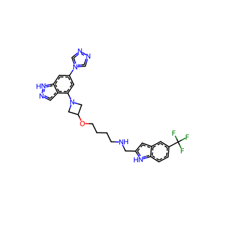 FC(F)(F)c1ccc2[nH]c(CNCCCCOC3CN(c4cc(-n5cnnc5)cc5[nH]ncc45)C3)cc2c1